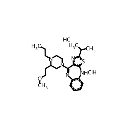 CCCN1CCN(C2=Nc3ccccc3Nc3sc(C(C)C)nc32)CC1CCOC.Cl.Cl